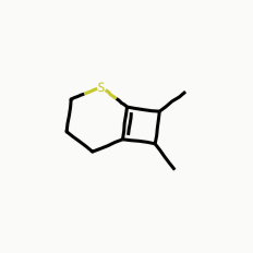 CC1C2=C(SCCC2)C1C